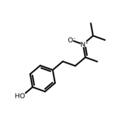 CC(CCc1ccc(O)cc1)=[N+]([O-])C(C)C